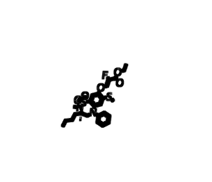 CCCC[C@]1(C)CN(c2ccccc2)c2cc(SC)c(O/C=C(\F)C(=O)OCC)cc2S(=O)(=O)N1C